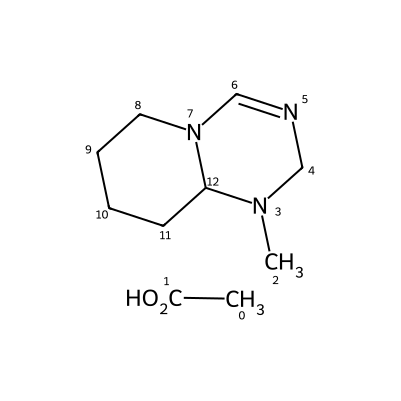 CC(=O)O.CN1CN=CN2CCCCC12